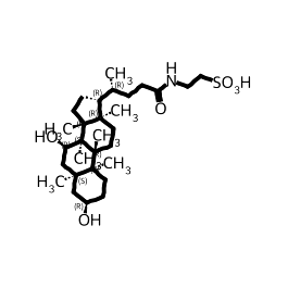 C[C@H](CCC(=O)NCCS(=O)(=O)O)[C@H]1CC[C@@]2(C)[C@]3(C)[C@H](O)C[C@]4(C)C[C@H](O)CC[C@]4(C)[C@@]3(C)CC[C@]12C